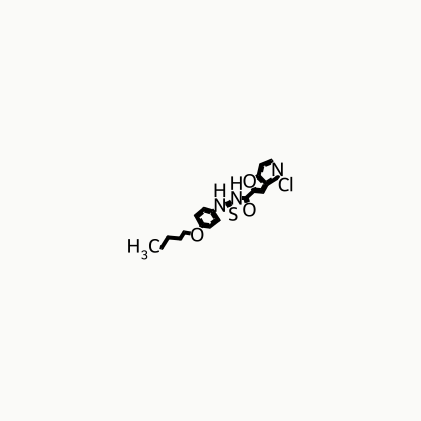 CCCCCOc1ccc(NC(=S)NC(=O)c2cc3c(Cl)nccc3o2)cc1